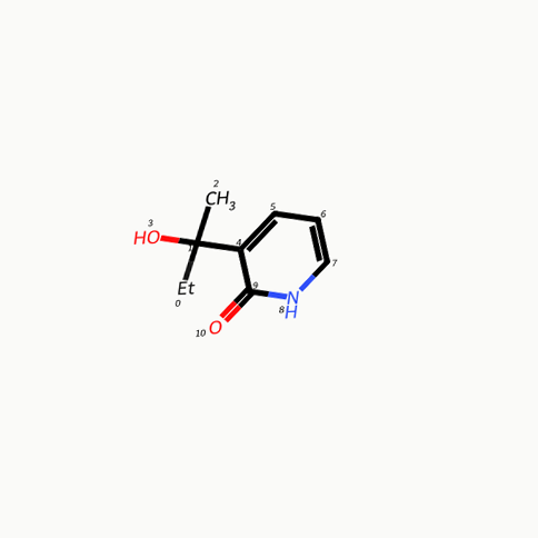 CCC(C)(O)c1ccc[nH]c1=O